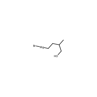 CC(CO)C[CH2][Mg][Br]